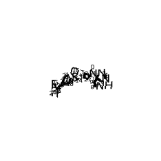 CN(c1ncnc2[nH]ccc12)[C@H]1C[C@@H](C[S+]([O-])N2CC3C(C2)C3C(F)(F)F)C1